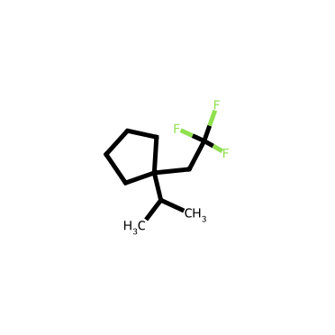 CC(C)C1(CC(F)(F)F)CCCC1